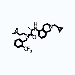 C[C@H](Nc1cccc2c1CCN(CC1CC1)C2)C(=O)N(CCN(C)C)Cc1ccccc1C(F)(F)F